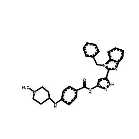 CN1CCC(Nc2ccc(C(=O)Nc3cc(-c4nc5ccccc5n4Cc4ccccc4)[nH]n3)cc2)CC1